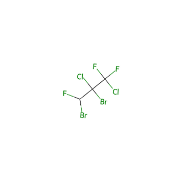 FC(Br)C(Cl)(Br)C(F)(F)Cl